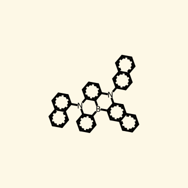 c1ccc2c(c1)B1c3cc4ccccc4cc3N(c3ccc4ccccc4c3)c3cccc(c31)N2c1cccc2ccccc12